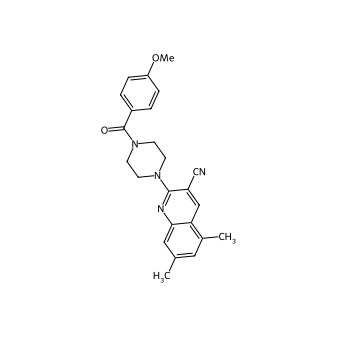 COc1ccc(C(=O)N2CCN(c3nc4cc(C)cc(C)c4cc3C#N)CC2)cc1